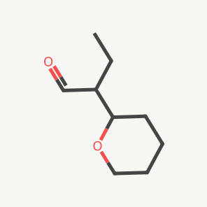 CCC(C=O)C1CCCCO1